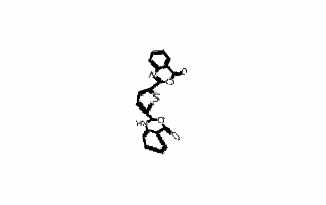 O=C1OC(c2ccc(-c3nc4ccccc4c(=O)o3)s2)Nc2ccccc21